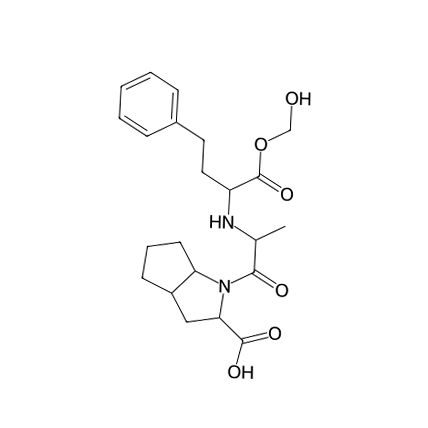 CC(NC(CCc1ccccc1)C(=O)OCO)C(=O)N1C(C(=O)O)CC2CCCC21